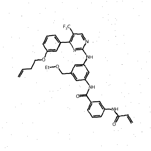 C=CCCOc1cccc(-c2nc(Nc3cc(COCC)cc(NC(=O)c4cccc(NC(=O)C=C)c4)c3)ncc2C(F)(F)F)c1